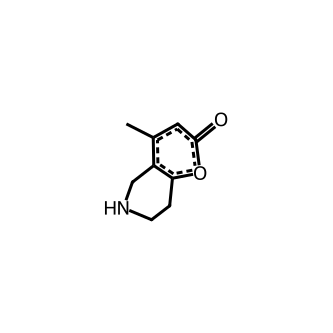 Cc1cc(=O)oc2c1CNCC2